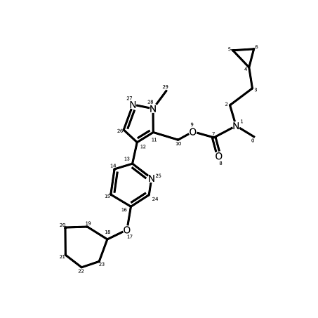 CN(CCC1CC1)C(=O)OCc1c(-c2ccc(OC3CCCCC3)cn2)cnn1C